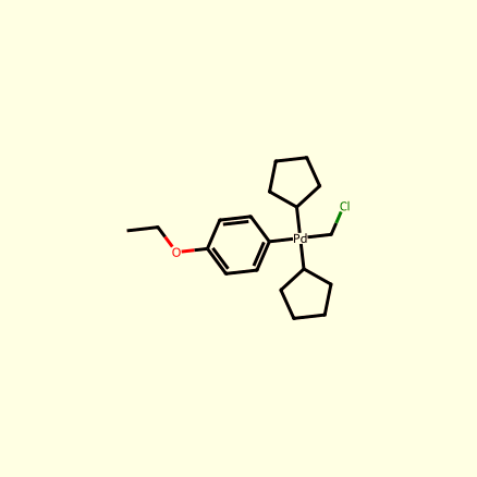 CCOc1cc[c]([Pd]([CH2]Cl)([CH]2CCCC2)[CH]2CCCC2)cc1